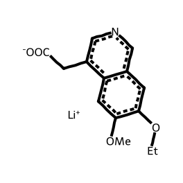 CCOc1cc2cncc(CC(=O)[O-])c2cc1OC.[Li+]